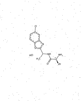 CC(NC(=O)[C@@H](N)C(C)C)c1nc2cc(Cl)ccc2s1.Cl